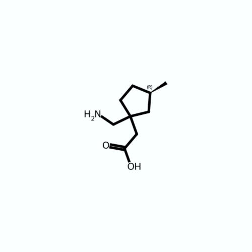 C[C@@H]1CCC(CN)(CC(=O)O)C1